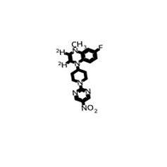 [2H]C1=C([2H])N(C2CCN(c3ncc([N+](=O)[O-])cn3)CC2)c2ccc(F)cc2N1C